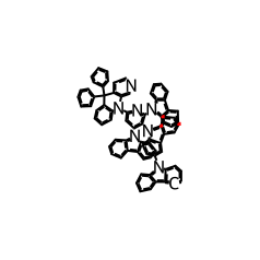 c1ccc(C2(c3ccccc3)c3ccccc3N(c3cc(-n4c5ccccc5c5ccccc54)c(-n4c5ccccc5c5cc(-n6c7ccccc7c7ccccc76)ccc54)c(-n4c5ccccc5c5ccccc54)n3)c3cnccc32)cc1